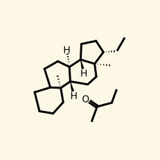 CCC(C)=O.CC[C@H]1CC[C@H]2[C@@H]3CCC4CCCC[C@]4(C)[C@H]3CC[C@]12C